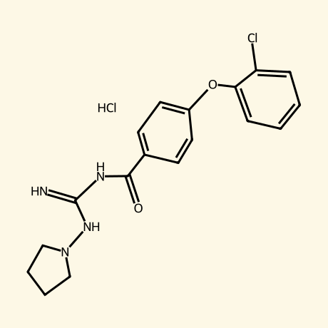 Cl.N=C(NC(=O)c1ccc(Oc2ccccc2Cl)cc1)NN1CCCC1